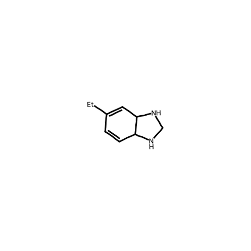 CCC1=CC2NCNC2C=C1